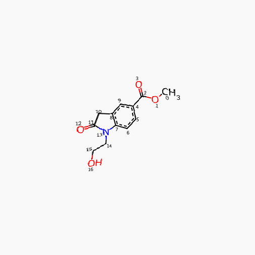 COC(=O)c1ccc2c(c1)CC(=O)N2CCO